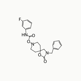 O=C(Nc1cccc(F)c1)ON1CCC2(CC1)CN(Cc1ccccc1)C(=O)O2